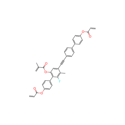 C=CC(=O)Oc1ccc(-c2ccc(C#Cc3cc(OC(=O)C(=C)C)c(-c4ccc(OC(=O)C=C)cc4)c(F)c3C)cc2)cc1